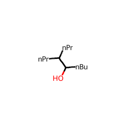 [CH2]CCCC(O)C(CCC)CCC